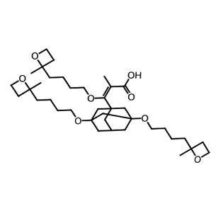 CC(C(=O)O)=C(OCCCCC1(C)CCO1)C12CC3CC(OCCCCC4(C)CCO4)(CC(OCCCCC4(C)CCO4)(C3)C1)C2